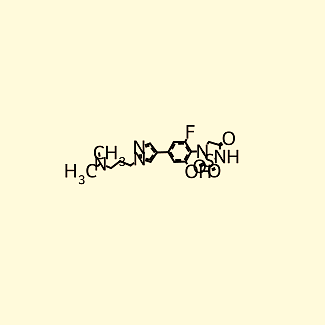 CN(C)CCCn1cc(-c2cc(O)c(N3CC(=O)NS3(=O)=O)c(F)c2)cn1